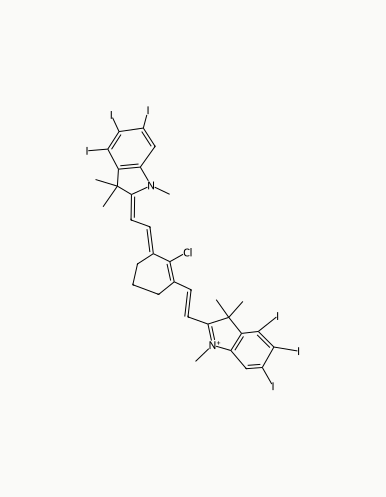 CN1/C(=C\C=C2/CCCC(/C=C/C3=[N+](C)c4cc(I)c(I)c(I)c4C3(C)C)=C2Cl)C(C)(C)c2c1cc(I)c(I)c2I